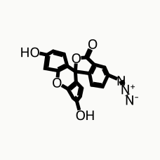 [N-]=[N+]=Nc1ccc2c(c1)C(=O)OC21c2ccc(O)cc2Oc2cc(O)ccc21